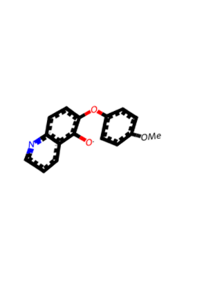 COc1ccc(Oc2ccc3ncccc3c2[O])cc1